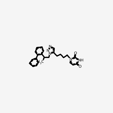 CC(Cn1nncc1CCCCn1ccc(=O)[nH]c1=O)c1ccccc1-c1ccccc1